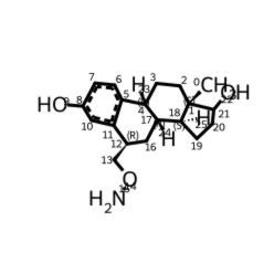 C[C@]12CC[C@H]3c4ccc(O)cc4[C@H](CON)C[C@H]3[C@@H]1CCC2O